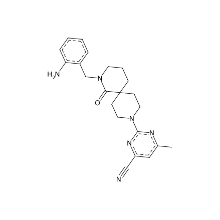 Cc1cc(C#N)nc(N2CCC3(CCCN(Cc4ccccc4N)C3=O)CC2)n1